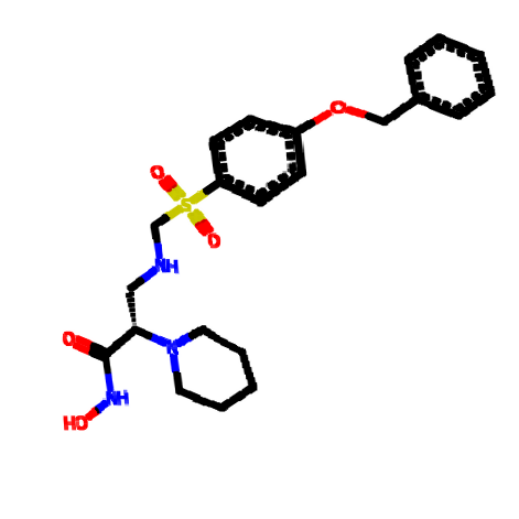 O=C(NO)[C@H](CNCS(=O)(=O)c1ccc(OCc2ccccc2)cc1)N1CCCCC1